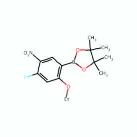 CCOc1cc(F)c([N+](=O)[O-])cc1B1OC(C)(C)C(C)(C)O1